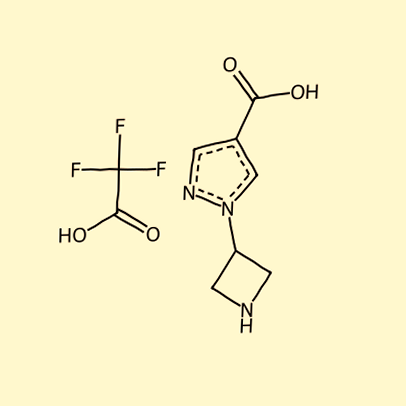 O=C(O)C(F)(F)F.O=C(O)c1cnn(C2CNC2)c1